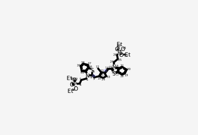 CCOP(=O)(CCCN1/C(=C/C2=C(C)C(=C/c3sc4ccccc4[n+]3CCCP(=O)(OCC)OCC)/CC2)Sc2ccccc21)OCC